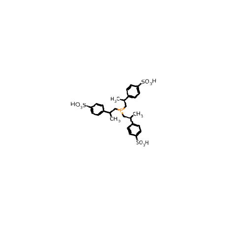 CC(CP(CC(C)c1ccc(S(=O)(=O)O)cc1)CC(C)c1ccc(S(=O)(=O)O)cc1)c1ccc(S(=O)(=O)O)cc1